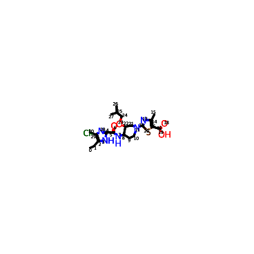 CCc1[nH]c(C(=O)NC2CCN(c3nc(C)c(C(=O)O)s3)CC2OCC(C)C)nc1Cl